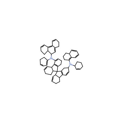 C1=CCCC(N(C2=CCCC3=C2C2C=CCCC2C32C3=C(C=CC(N(C4=C5C=CC=CC5CCC4)C4C=CCCC4)C3)C3CCC=CC32)C2C=C3CCC=CC3=C3C=CCCC32)=C1